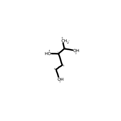 [CH2]C(O)C(O)CCO